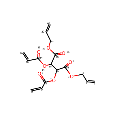 C=CCOC(=O)C(OC(=O)C=C)C(OC(=O)C=C)C(=O)OCC=C